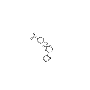 O=[N+]([O-])c1ccc(OP2(=O)OCCC(c3ccccn3)O2)cc1